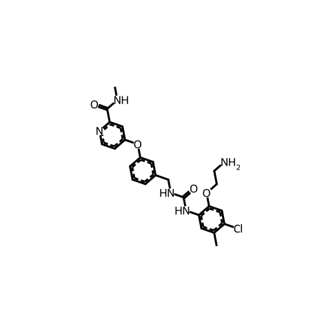 CNC(=O)c1cc(Oc2cccc(CNC(=O)Nc3cc(C)c(Cl)cc3OCCN)c2)ccn1